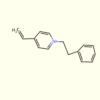 C=Cc1cc[n+](CCc2ccccc2)cc1